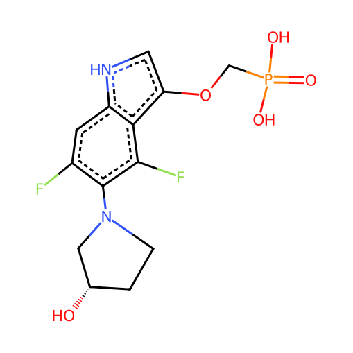 O=P(O)(O)COc1c[nH]c2cc(F)c(N3CC[C@H](O)C3)c(F)c12